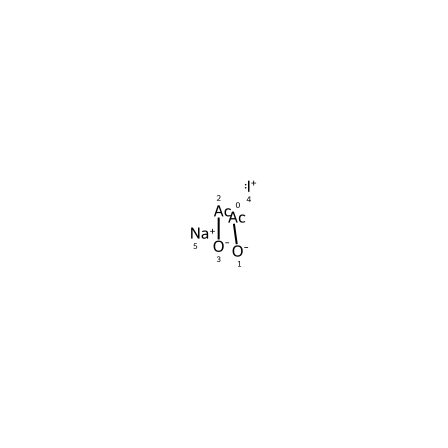 CC(=O)[O-].CC(=O)[O-].[I+].[Na+]